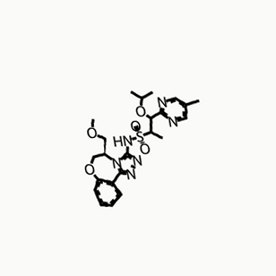 COC[C@@H]1COc2ccccc2-c2nnc(NS(=O)(=O)C(C)C(OC(C)C)c3ncc(C)cn3)n21